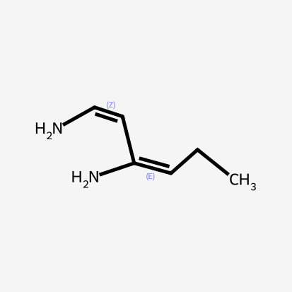 CC/C=C(N)\C=C/N